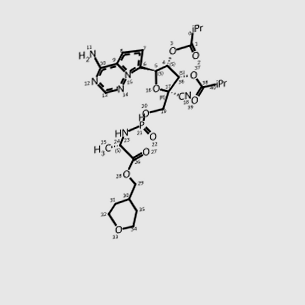 CC(C)C(=O)O[C@H]1[C@H](c2ccc3c(N)ncnn23)O[C@](C#N)(CO[PH](=O)N[C@@H](C)C(=O)OCC2CCOCC2)[C@H]1OC(=O)C(C)C